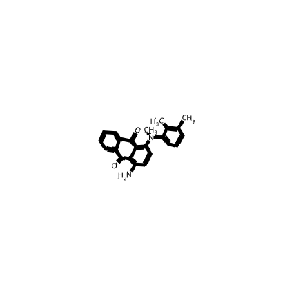 Cc1cccc(N(C)c2ccc(N)c3c2C(=O)c2ccccc2C3=O)c1C